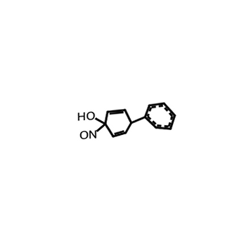 O=NC1(O)C=CC(c2ccccc2)C=C1